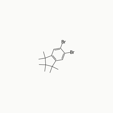 CC1(C)c2cc(Br)c(Br)cc2C(C)(C)C1(C)C